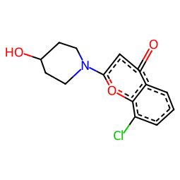 O=c1cc(N2CCC(O)CC2)oc2c(Cl)cccc12